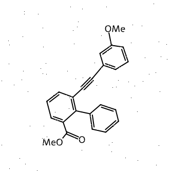 COC(=O)c1cccc(C#Cc2cccc(OC)c2)c1-c1ccccc1